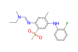 CCN(C)C=Nc1cc(C)c(Nc2ccccc2F)cc1S(C)(=O)=O